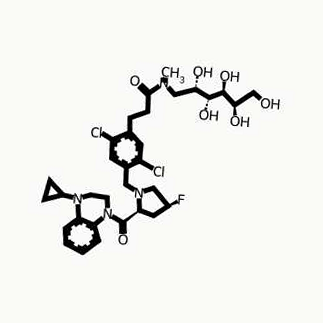 CN(C[C@H](O)[C@@H](O)[C@@H](O)[C@H](O)CO)C(=O)CCc1cc(Cl)c(CN2C[C@@H](F)C[C@H]2C(=O)N2CCN(C3CC3)c3ccccc32)cc1Cl